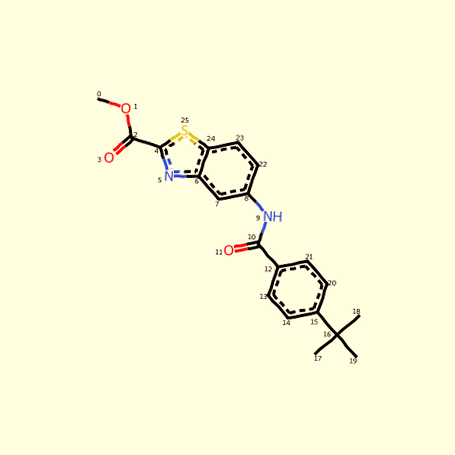 COC(=O)c1nc2cc(NC(=O)c3ccc(C(C)(C)C)cc3)ccc2s1